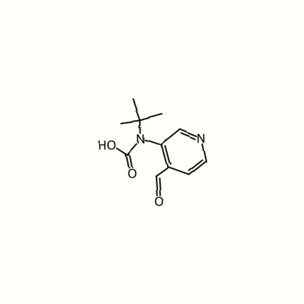 CC(C)(C)N(C(=O)O)c1cnccc1C=O